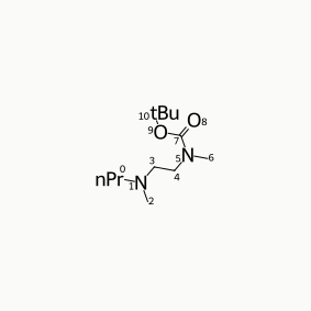 CCCN(C)CCN(C)C(=O)OC(C)(C)C